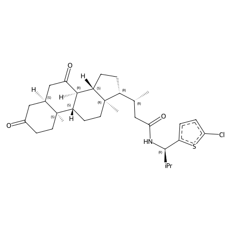 CC(C)[C@@H](NC(=O)C[C@@H](C)[C@H]1CC[C@H]2[C@@H]3C(=O)C[C@@H]4CC(=O)CC[C@]4(C)[C@H]3CC[C@]12C)c1ccc(Cl)s1